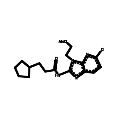 COCCn1c(NC(=O)CCC2CCCC2)nc2ccc(Cl)nc21